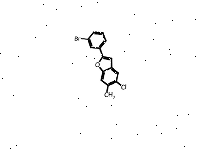 Cc1cc2oc(-c3cccc(Br)c3)cc2cc1Cl